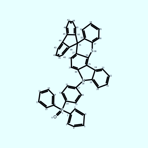 O=P(c1ccccc1)(c1ccccc1)c1ccc(-n2c3ccccc3c3c4c(ccc32)C2(c3ccccc3S4)c3ccccc3-c3ccccc32)cc1